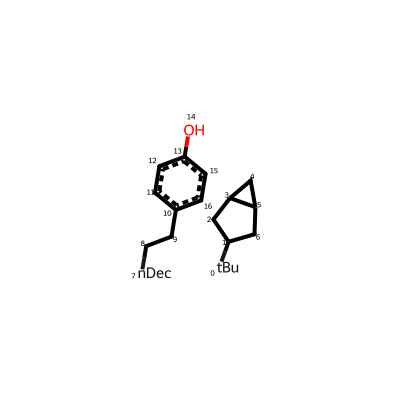 CC(C)(C)C1CC2CC2C1.CCCCCCCCCCCCc1ccc(O)cc1